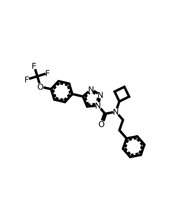 O=C(N(CCc1ccccc1)C1CCC1)n1cc(-c2ccc(OC(F)(F)F)cc2)nn1